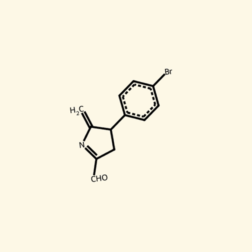 C=C1N=C(C=O)CC1c1ccc(Br)cc1